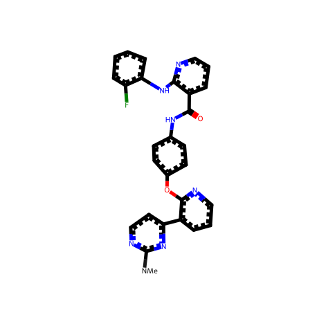 CNc1nccc(-c2cccnc2Oc2ccc(NC(=O)c3cccnc3Nc3ccccc3F)cc2)n1